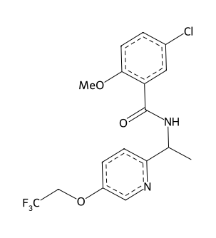 COc1ccc(Cl)cc1C(=O)NC(C)c1ccc(OCC(F)(F)F)cn1